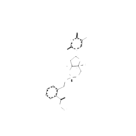 CC(C)OC(=O)c1ccccc1COP1(=O)OC[C@H]2O[C@@H](n3cc(F)c(=O)[nH]c3=O)C[C@@H]2O1